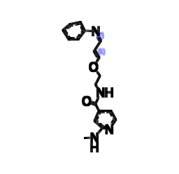 CNc1cc(C(=O)NCCO/C=C/C=N\c2ccccc2)ccn1